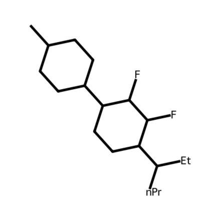 CCCC(CC)C1CCC(C2CCC(C)CC2)C(F)C1F